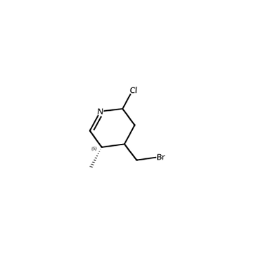 C[C@@H]1C=NC(Cl)CC1CBr